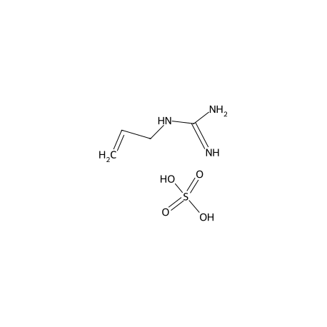 C=CCNC(=N)N.O=S(=O)(O)O